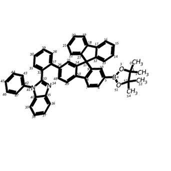 CC1(C)OB(c2ccc3c(c2)C2(c4ccccc4-c4ccccc42)c2cc(-c4ccccc4-c4nc5ccccc5n4-c4ccccc4)ccc2-3)OC1(C)C